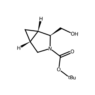 CC(C)(C)OC(=O)N1C[C@@H]2C[C@@H]2[C@H]1CO